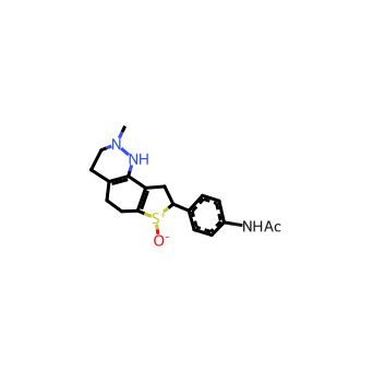 CC(=O)Nc1ccc(C2CC3=C(CCC4=C3NN(C)CC4)[S+]2[O-])cc1